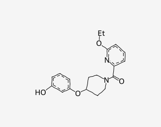 CCOc1cccc(C(=O)N2CCC(Oc3cccc(O)c3)CC2)n1